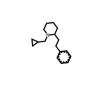 c1ccc(CCC2CCCCN2CC2CC2)cc1